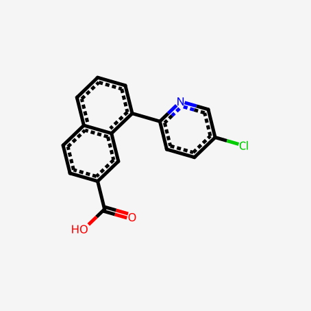 O=C(O)c1ccc2cccc(-c3ccc(Cl)cn3)c2c1